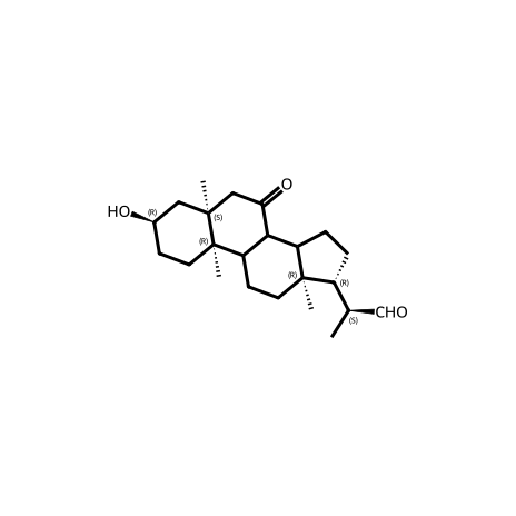 C[C@H](C=O)[C@H]1CCC2C3C(=O)C[C@]4(C)C[C@H](O)CC[C@]4(C)C3CC[C@@]21C